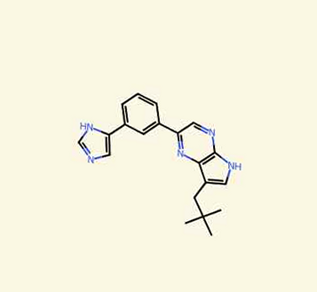 CC(C)(C)Cc1c[nH]c2ncc(-c3cccc(-c4cnc[nH]4)c3)nc12